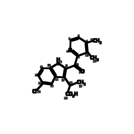 Cc1ccnc(C(=O)c2[nH]c3ccc(Cl)cc3c2C(C)C(=O)O)c1C